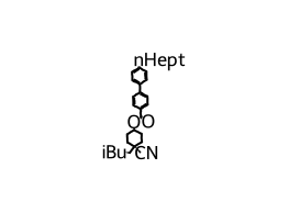 CCCCCCCc1ccc(-c2ccc(C(=O)O[C@H]3CC[C@@](C#N)(C[C@H](C)CC)CC3)cc2)cc1